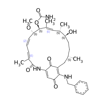 CO[C@H]1/C=C\C=C(/C)C(=O)NC2=CC(=O)C(NCc3ccccc3)=C(C[C@@H](C)CC[C@H](O)[C@@H](C)/C=C(\C)[C@@H]1OC(N)=O)C2=O